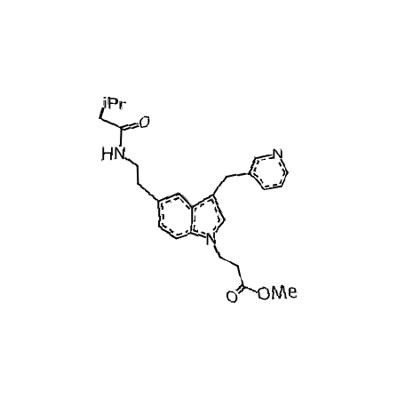 COC(=O)CCn1cc(Cc2cccnc2)c2cc(CCNC(=O)CC(C)C)ccc21